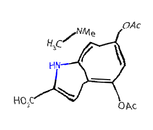 CC(=O)Oc1cc(OC(C)=O)c2cc(C(=O)O)[nH]c2c1.CNC